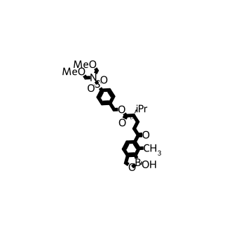 COCN(COC)S(=O)(=O)c1ccc(COC(=O)[C@@H](CCC(=O)c2ccc3c(c2C)B(O)OC3)C(C)C)cc1